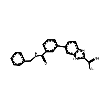 CCCCC(=N)c1nc2ccc(-c3cccc(C(=O)NCc4ccccc4)c3)cc2[nH]1